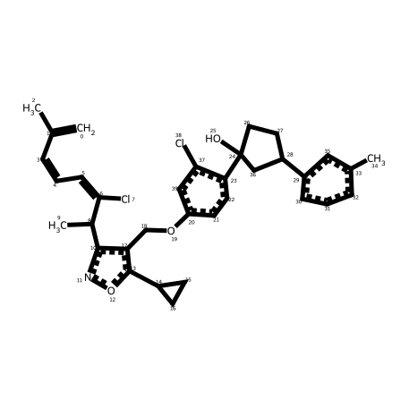 C=C(C)/C=C\C=C(\Cl)C(C)c1noc(C2CC2)c1COc1ccc(C2(O)CCC(c3cccc(C)c3)C2)c(Cl)c1